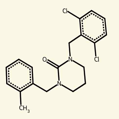 Cc1ccccc1CN1CCCN(Cc2c(Cl)cccc2Cl)C1=O